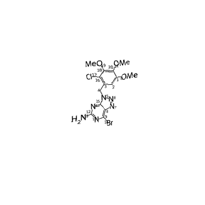 COc1cc(Cn2nnc3c(Br)nc(N)nc32)c(Cl)c(OC)c1OC